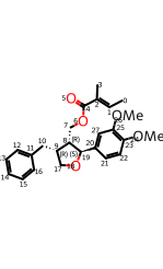 CC=C(C)C(=O)OC[C@H]1[C@@H](Cc2ccccc2)CO[C@@H]1c1ccc(OC)c(OC)c1